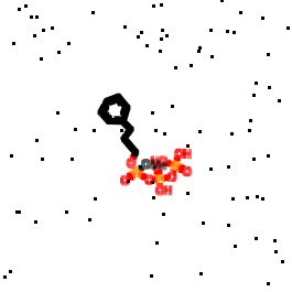 COP(=O)(OCCCc1ccccc1)OP(=O)(O)OP(=O)(O)O